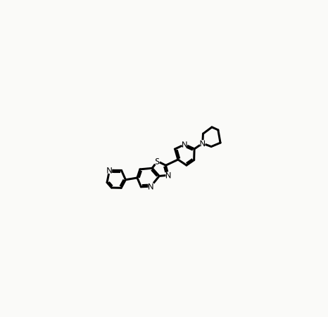 c1cncc(-c2cnc3nc(-c4ccc(N5CCCCC5)nc4)sc3c2)c1